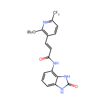 CC(C)COc1nc(C(F)(F)F)ccc1/C=C/C(=O)Nc1cccc2[nH]c(=O)[nH]c12